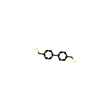 SCc1ccc(-c2ccc(CS)cc2)cc1